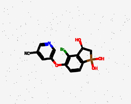 N#Cc1cncc(Oc2ccc3c(c2Br)[C@@H](O)CS3(O)O)c1